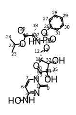 C=C1N=C(NO)C=CN1[C@@H]1O[C@H](COP(=O)(N[C@@H](C)C(=O)OC(C)C)Oc2ccccc2)C(O)[C@@]1(C)O